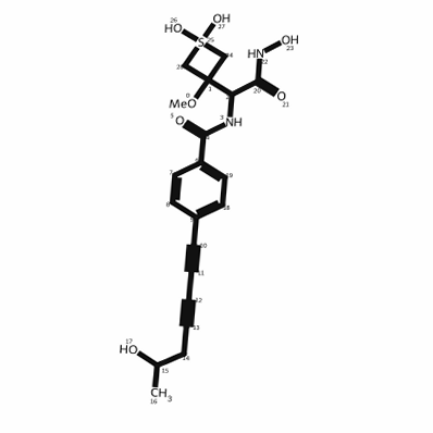 COC1(C(NC(=O)c2ccc(C#CC#CCC(C)O)cc2)C(=O)NO)CS(O)(O)C1